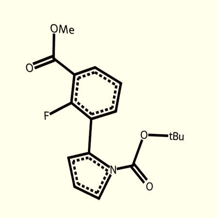 COC(=O)c1cccc(-c2cccn2C(=O)OC(C)(C)C)c1F